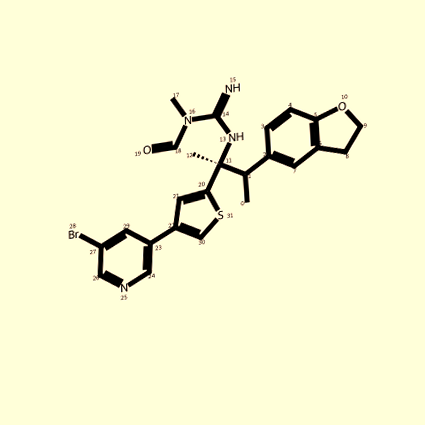 CC(c1ccc2c(c1)CCO2)[C@](C)(NC(=N)N(C)C=O)c1cc(-c2cncc(Br)c2)cs1